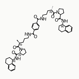 C[C@@H](CCCNC(=O)c1ccc(C(=O)NCCC[C@H](C)C(=O)N2CCC[C@H]2C(=O)N[C@@H]2CCCc3ccccc32)cc1)C(=O)N1CCCC1C(=O)N[C@@H]1CCCc2ccccc21